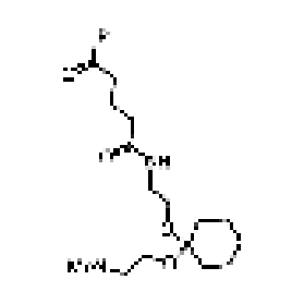 CNCCOC1(OCCNC(=O)CCCC(=O)C(C)C)CCCCC1